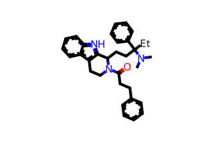 CCC(CCC1c2[nH]c3ccccc3c2CCN1C(=O)CCc1ccccc1)(c1ccccc1)N(C)C